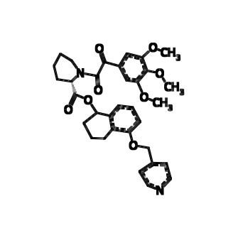 COc1cc(C(=O)C(=O)N2CCCC[C@H]2C(=O)OC2CCCc3c(OCc4ccncc4)cccc32)cc(OC)c1OC